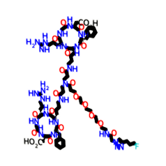 N=C(N)NCCC[C@@H]1NC(=O)[C@H](CCCCNC(=O)CCN(CCC(=O)NCCCC[C@@H]2NC(=O)[C@@H](Cc3ccccc3)NC(=O)[C@H](CC(=O)O)NC(=O)CNC(=O)[C@H](CCCNC(=N)N)NC2=O)C(=O)CCOCCOCCOCCOCCNC(=O)Cn2cc(CCCF)nn2)NC(=O)[C@@H](Cc2ccccc2)NC(=O)C(CC(=O)O)NC(=O)CNC1=O